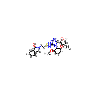 COc1cccc(OC)c1-n1c(NSCCN2Cc3ccccc3C2=O)nnc1-c1ccco1